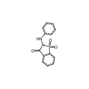 O=C1c2ccccc2S(=O)(=O)N1Nc1ccccc1